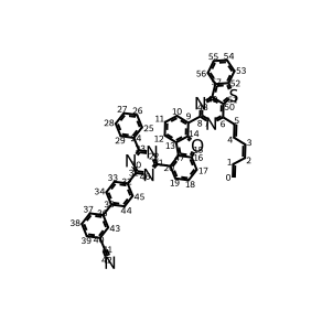 C=C/C=C\C=C\c1nc(-c2cccc3c2oc2cccc(-c4nc(-c5ccccc5)nc(-c5ccc(-c6cccc(C#N)c6)cc5)n4)c23)nc2c1sc1ccccc12